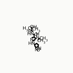 CC(C)Nc1cc(Nc2ccc3nonc3c2)ncc1C(=O)NC[C@@H](F)C(C)(C)O